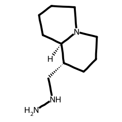 NNC[C@H]1CCCN2CCCC[C@H]12